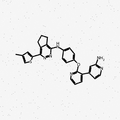 Cc1csc(-c2nnc(Nc3ccc(Oc4ncccc4-c4ccnc(N)c4)cc3)c3c2CCC3)c1